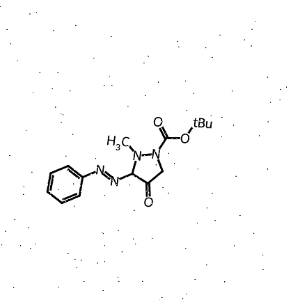 CN1C(/N=N/c2ccccc2)C(=O)CN1C(=O)OC(C)(C)C